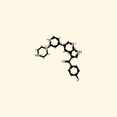 O=C(c1ccc(F)cc1)c1c[nH]c2ncc(-c3ccnc(N4CCNCC4)c3)cc12